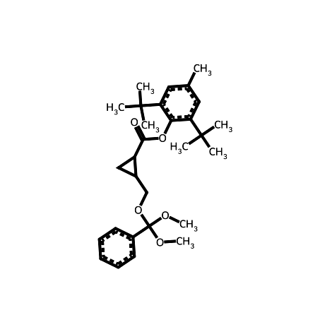 COC(OC)(OCC1CC1C(=O)Oc1c(C(C)(C)C)cc(C)cc1C(C)(C)C)c1ccccc1